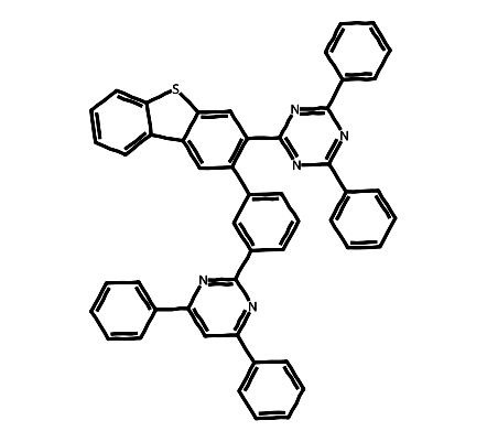 c1ccc(-c2cc(-c3ccccc3)nc(-c3cccc(-c4cc5c(cc4-c4nc(-c6ccccc6)nc(-c6ccccc6)n4)sc4ccccc45)c3)n2)cc1